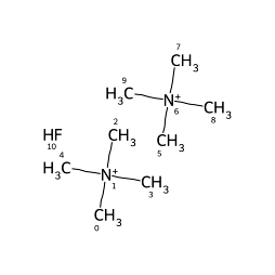 C[N+](C)(C)C.C[N+](C)(C)C.F